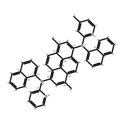 Cc1ccnc(N(c2cccc3ccccc23)c2cc(C)c3ccc4c(N(c5ccccn5)c5cccc6ccccc56)cc(C)c5ccc2c3c54)c1